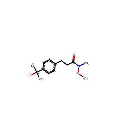 CON(C)C(=O)CCc1ccc(C(C)(C)O)cc1